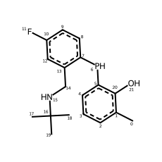 Cc1cccc(Pc2ccc(F)cc2CNC(C)(C)C)c1O